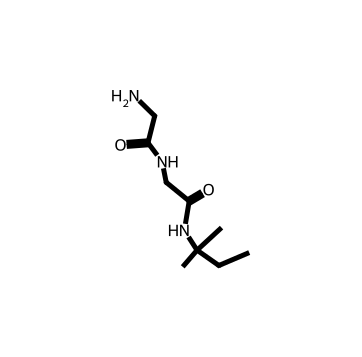 CCC(C)(C)NC(=O)CNC(=O)CN